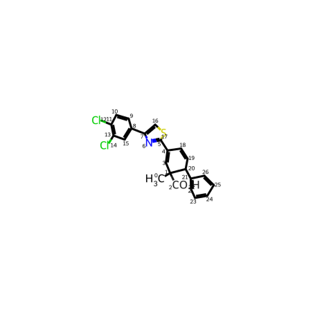 CC1(C(=O)O)C=C(c2nc(-c3ccc(Cl)c(Cl)c3)cs2)C=CC1c1ccccc1